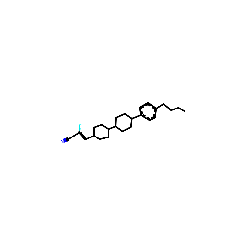 CCCCc1ccc(C2CCC(C3CCC(C=C(F)C#N)CC3)CC2)cc1